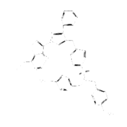 COc1ccc(CN(Cc2ccc(OC)cc2)S(=O)(=O)c2ccc(Cc3cn(-c4csc5c(OC(C)(C)C)ncnc45)nc3-c3ccccc3)cc2)cc1